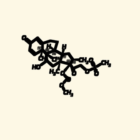 COC(=O)O[C@]1(C(=O)COS(C)(=O)=O)[C@H](C)C[C@H]2[C@@H]3CCC4=CC(=O)C=C[C@]4(C)[C@@]3(Cl)C(O)C[C@@]21C